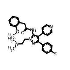 COc1ccccc1CC(=O)Nc1c(-c2ccncc2)c(-c2ccc(F)cc2)nn1CCN(C)C